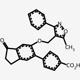 Cc1onc(-c2ccccc2)c1COc1cc2c(cc1-c1ccc(C(=O)O)cc1)CCC2=O